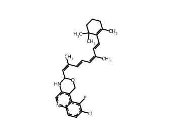 CC(C=CC1=C(C)CCCC1(C)C)=CC=CC(C)=CC1Nc2cnc3ccc(Cl)c(F)c3c2CO1